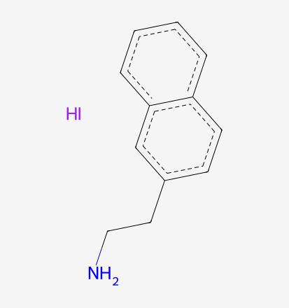 I.NCCc1ccc2ccccc2c1